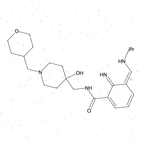 CC(C)N/C=C1/C=CC=C(C(=O)NCC2(O)CCN(CC3CCOCC3)CC2)C1=N